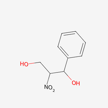 O=[N+]([O-])C(CO)C(O)c1ccccc1